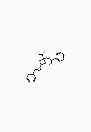 O=C(OC1(C(F)F)CC(OCc2ccccc2)C1)c1ccccc1